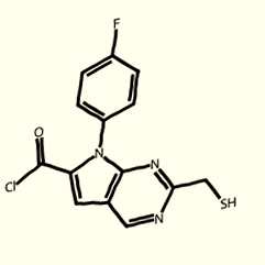 O=C(Cl)c1cc2cnc(CS)nc2n1-c1ccc(F)cc1